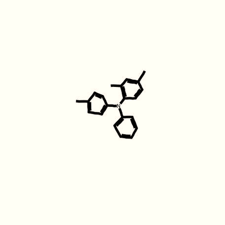 Cc1ccc(N(c2ccccc2)c2ccc(C)cc2C)cc1